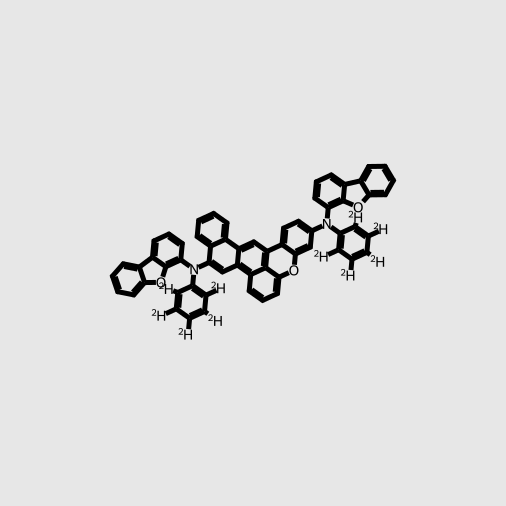 [2H]c1c([2H])c([2H])c(N(c2ccc3c(c2)Oc2cccc4c2c-3cc2c3ccccc3c(N(c3c([2H])c([2H])c([2H])c([2H])c3[2H])c3cccc5c3oc3ccccc35)cc42)c2cccc3c2oc2ccccc23)c([2H])c1[2H]